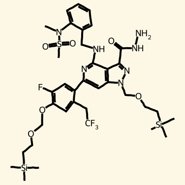 CN(c1ccccc1CNc1nc(-c2cc(F)c(OCOCC[Si](C)(C)C)cc2CC(F)(F)F)cc2c1c(C(=O)NN)nn2COCC[Si](C)(C)C)S(C)(=O)=O